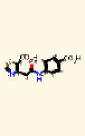 O=C(Cc1ncsc1C(=O)O)Nc1ccc(C(=O)O)cc1